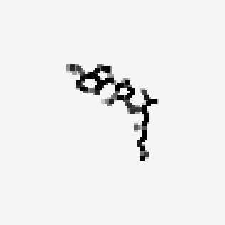 COCCNCCN(C)C[C@H]1O[C@@H](n2cnc3c(N)ncnc32)[C@H](O)[C@@H]1O